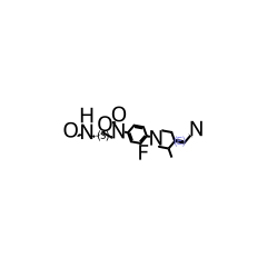 CC1CN(c2ccc(N3C[C@H](CNC=O)OC3=O)cc2F)CC/C1=C\C#N